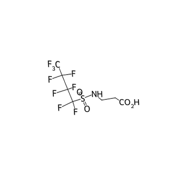 O=C(O)CCNS(=O)(=O)C(F)(F)C(F)(F)C(F)(F)C(F)(F)F